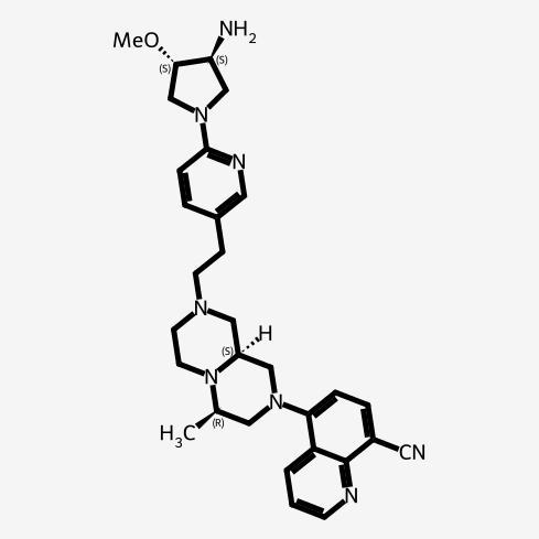 CO[C@H]1CN(c2ccc(CCN3CCN4[C@@H](C3)CN(c3ccc(C#N)c5ncccc35)C[C@H]4C)cn2)C[C@@H]1N